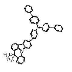 CC1(C)c2ncccc2-n2c3ccc(-c4ccc(N(c5ccc(-c6ccccc6)cc5)c5ccc(-c6ccccc6)cc5)cc4)cc3c3cccc1c32